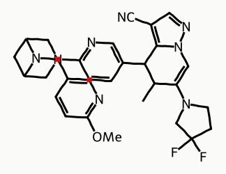 COc1ccc(CN2C3CC2CN(c2ccc(C4c5c(C#N)cnn5C=C(N5CCC(F)(F)C5)C4C)cn2)C3)cn1